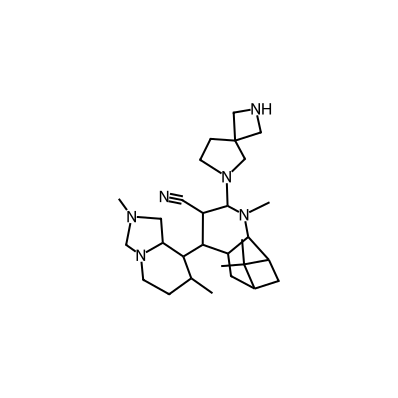 CC1CCN2CN(C)CC2C1C1C(C#N)C(N2CCC3(CNC3)C2)N(C)C2C1CC1CC2C1(C)C